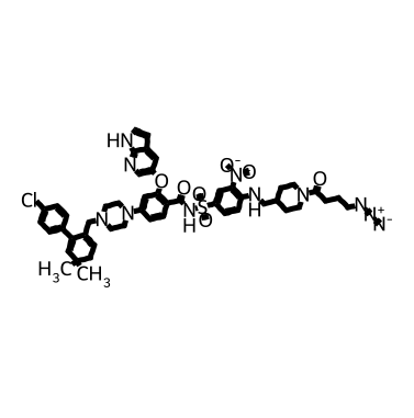 CC1(C)C=C(c2ccc(Cl)cc2)C(CN2CCN(c3ccc(C(=O)NS(=O)(=O)c4ccc(NCC5CCN(C(=O)CCCN=[N+]=[N-])CC5)c([N+](=O)[O-])c4)c(Oc4cnc5[nH]ccc5c4)c3)CC2)=CC1